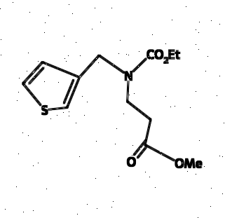 CCOC(=O)N(CCC(=O)OC)Cc1ccsc1